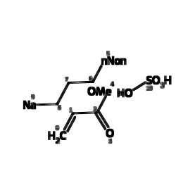 C=CC(=O)OC.CCCCCCCCCCC[CH2][Na].O=S(=O)(O)O